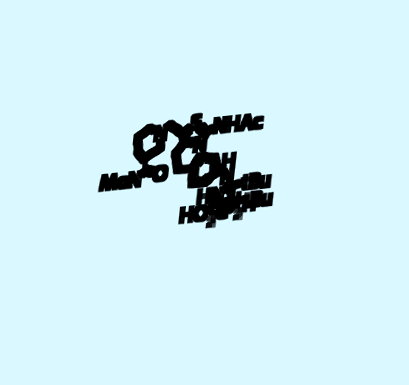 CNC(=O)[C@@H]1CCCN(Cc2sc(NC(C)=O)nc2CCc2ccc(NC(NC(=O)O)(N(C(=O)O)C(C)(C)C)C(C)(C)C)cc2)C1